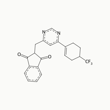 O=C1c2ccccc2C(=O)C1Cc1cc(C2=CCC(C(F)(F)F)CC2)ncn1